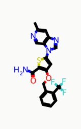 Cc1cc2ncn(-c3cc(OCc4ccccc4C(F)(F)F)c(C(N)=O)s3)c2cn1